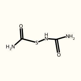 NC(=O)NSC(N)=O